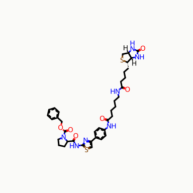 O=C(CCCC[C@@H]1SC[C@@H]2NC(=O)N[C@@H]21)NCCCCCC(=O)Nc1ccc(-c2csc(NC(=O)C3CCCN3C(=O)OCc3ccccc3)n2)cc1